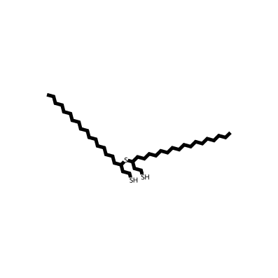 CCCCCCCCCCCCCCCCCC(CCS)SC(CCS)CCCCCCCCCCCCCCCCC